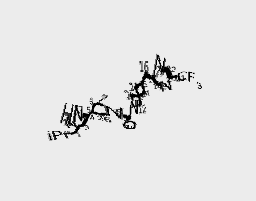 CC(C)Cc1cc(C2CCN(C(=O)N3CC4(CC(Cc5cnc(C(F)(F)F)cn5)C4)C3)C2)[nH]n1